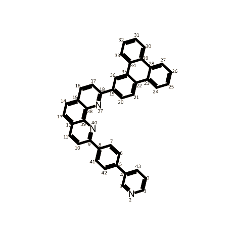 c1cncc(-c2ccc(-c3ccc4ccc5ccc(-c6ccc7c8ccccc8c8ccccc8c7c6)nc5c4n3)cc2)c1